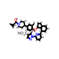 CCc1c(C(=O)O)cnn1-c1cccc(-c2cccc3c2C(Oc2ccc(C4CCN(C(=O)C5CC5)CC4)cc2C)CC3)n1